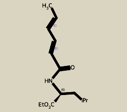 C/C=C/C=C/C(=O)N[C@@H](CC(C)C)C(=O)OCC